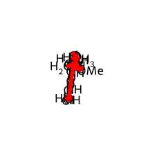 C=CC[C@](C)(NC(=O)[C@@H]1C[C@@H](Oc2nccc3cc(OC)ccc23)CN1C(=O)[C@H](CNC(=O)C=C)NC(=O)CCCC(=O)NCCCOCCOCCOCCCNC(=O)CCCC[C@@H]1SC[C@@H]2NC(=O)N[C@@H]21)C(=O)NS(=O)(=O)C1CC1